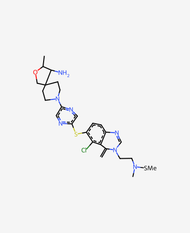 C=C1c2c(ccc(Sc3cnc(N4CCC5(CC4)COC(C)C5N)cn3)c2Cl)N=CN1CCN(C)SC